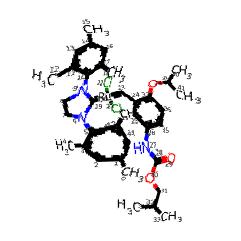 Cc1cc(C)c(N2CCN(c3c(C)cc(C)cc3C)[C]2=[Ru]([Cl])([Cl])=[CH]c2cc(NC(=O)OCC(C)C)ccc2OC(C)C)c(C)c1